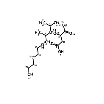 CC(C)OC(C)C.O=C(O)CC(O)C(=O)O.OCCOCCO